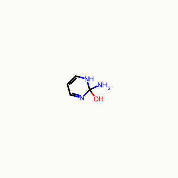 NC1(O)N=CC=CN1